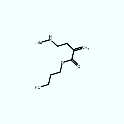 C=C(CCNCCCC)C(=O)OCCCO